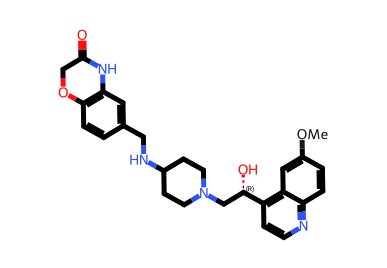 COc1ccc2nccc([C@@H](O)CN3CCC(NCc4ccc5c(c4)NC(=O)CO5)CC3)c2c1